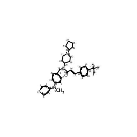 CN(c1ccncc1)c1ccc(CN(C(=O)/C=C/c2ccc(C(F)(F)F)cc2)C2CCN(C3CCCC3)CC2)cc1